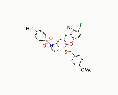 COc1ccc(CSc2c(Oc3ccc(F)c(C#N)c3)c(F)cc3c2ccn3S(=O)(=O)c2ccc(C)cc2)cc1